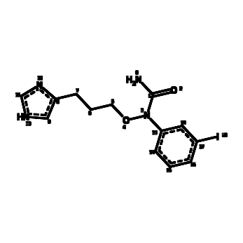 NC(=O)N(OCCCc1c[nH]cn1)c1cccc(I)c1